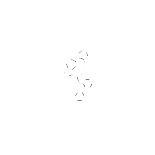 C=C(/C=c1/c(-c2cc3c(-c4ccc(F)cc4)ccnc3[nH]2)n[nH]/c1=C/C)c1cnccc1C